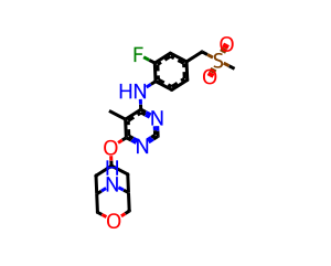 Cc1c(Nc2ccc(CS(C)(=O)=O)cc2F)ncnc1OC1CC2COCC(C1)N2